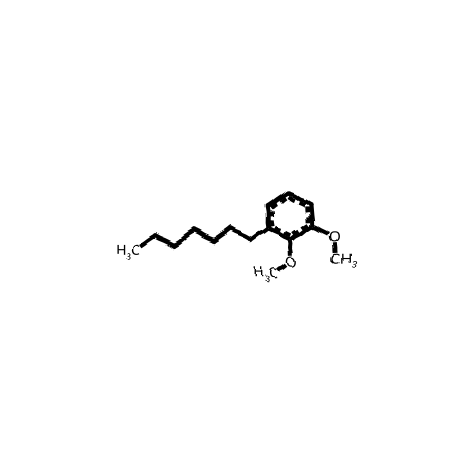 CCCCCCCc1cccc(OC)c1OC